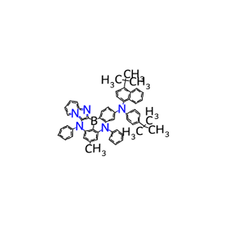 Cc1cc2c3c(c1)N(c1ccccc1)c1c(nc4ccccn14)B3c1ccc(N(c3ccc(C(C)(C)C)cc3)c3ccc(C(C)(C)C)c4ccccc34)cc1N2c1ccccc1